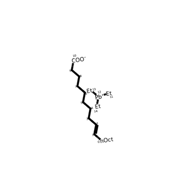 CCCCCCCCC=CCCCCCCCC(=O)[O-].C[CH2][Pb+]([CH2]C)[CH2]C